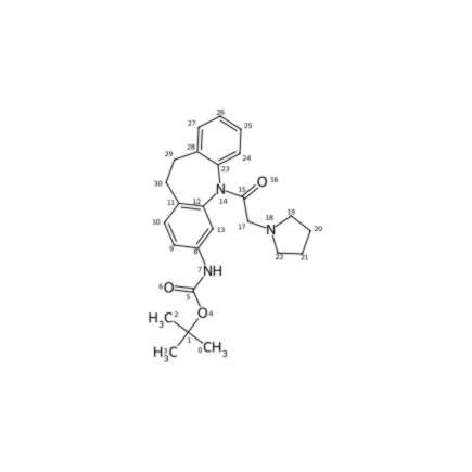 CC(C)(C)OC(=O)Nc1ccc2c(c1)N(C(=O)CN1CCCC1)c1ccccc1CC2